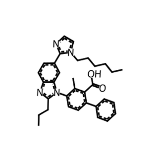 CCCCCCn1ccnc1-c1ccc2nc(CCC)n(-c3ccc(-c4ccccc4)c(C(=O)O)c3C)c2c1